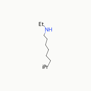 CCNCCCCCCC(C)C